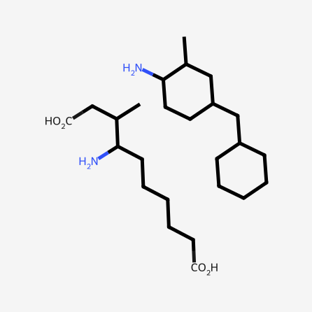 CC(CC(=O)O)C(N)CCCCCC(=O)O.CC1CC(CC2CCCCC2)CCC1N